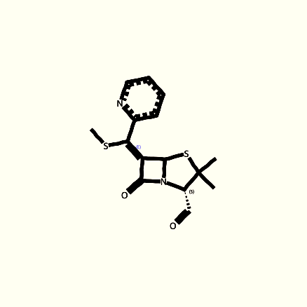 CS/C(=C1\C(=O)N2C1SC(C)(C)[C@@H]2C=O)c1ccccn1